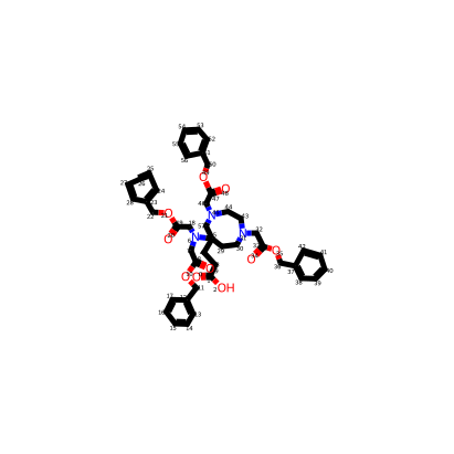 O=C(O)CCC1(N(CC(=O)OCc2ccccc2)CC(=O)OCc2ccccc2)CCN(CC(=O)OCc2ccccc2)CCN(CC(=O)OCc2ccccc2)C1